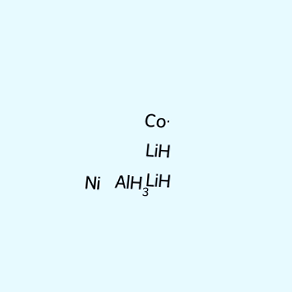 [AlH3].[Co].[LiH].[LiH].[Ni]